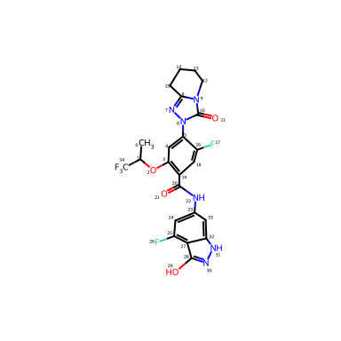 CC(Oc1cc(-n2nc3n(c2=O)CCCC3)c(F)cc1C(=O)Nc1cc(F)c2c(O)n[nH]c2c1)C(F)(F)F